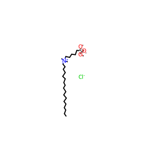 CCCCCCCCCCCCCCCCCC[N+](C)(C)CCCCC[Si](OC)(OC)OC.[Cl-]